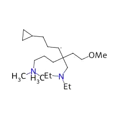 CCN(CC)CC([CH]CCC1CC1)(CCCN(C)C)CCOC